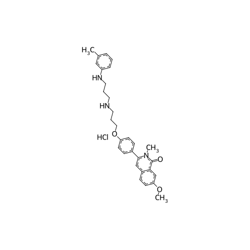 COc1ccc2cc(-c3ccc(OCCCNCCCNc4cccc(C)c4)cc3)n(C)c(=O)c2c1.Cl